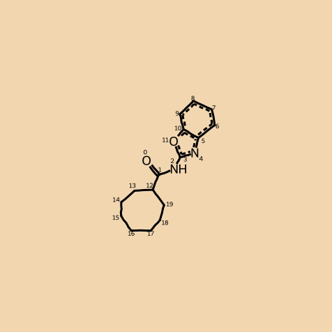 O=C(Nc1nc2ccccc2o1)C1CCCCCCC1